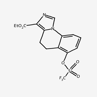 CCOC(=O)c1ncn2c1CCc1c(OS(=O)(=O)C(F)(F)F)cccc1-2